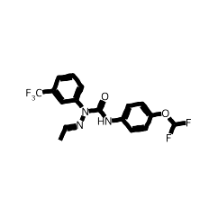 CC=NN(C(=O)Nc1ccc(OC(F)F)cc1)c1cccc(C(F)(F)F)c1